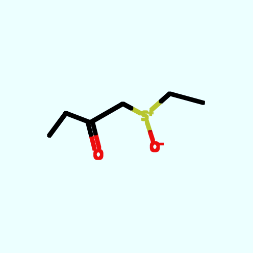 CCC(=O)C[S+]([O-])CC